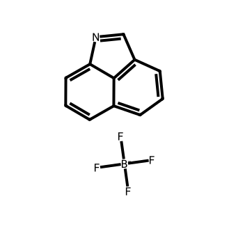 C1=Nc2cccc3cccc1c23.F[B-](F)(F)F